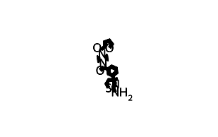 CC1(c2cccc(C(=O)N3CCN(C(=O)c4ccco4)CC3)c2)CCSC(N)=N1